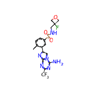 Cc1ccc(S(=O)(=O)NCC2(F)COC2)cc1-c1cn2c(N)nc(C(F)(F)F)nc2n1